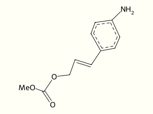 COC(=O)OC/C=C/c1ccc(N)cc1